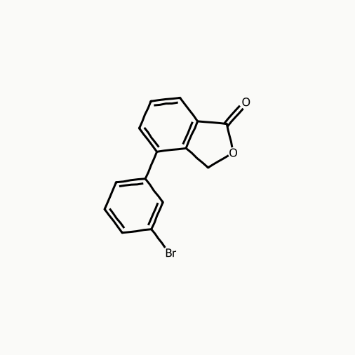 O=C1OCc2c1cccc2-c1cccc(Br)c1